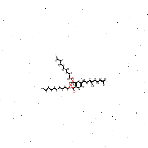 CCCCCCCCCCOC(=O)C1=C(C(=O)OCCCCCCCCCC)CC(CC/C=C(\C)CCC=C(C)C)=CC1